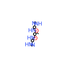 CCc1cc(C(=O)Nc2ccc(C3=NCCN3)cc2)ccc1C(=O)Nc1ccc(C2=NCCN2)cc1